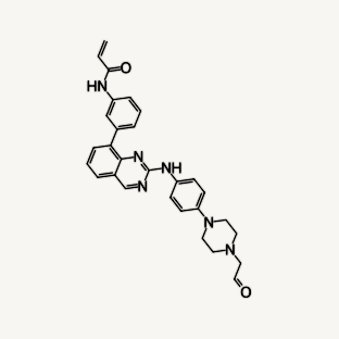 C=CC(=O)Nc1cccc(-c2cccc3cnc(Nc4ccc(N5CCN(CC=O)CC5)cc4)nc23)c1